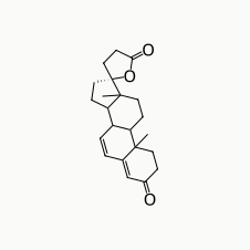 CC12CCC(=O)C=C1C=CC1C2CCC2(C)C1CC[C@@]21CCC(=O)O1